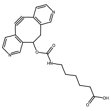 O=C(O)CCCCCNC(=O)OC1Cc2cnccc2C#Cc2ccncc21